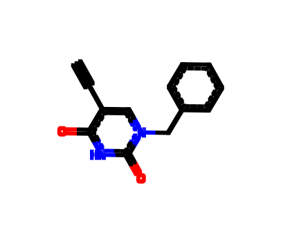 C#Cc1cn(Cc2ccccc2)c(=O)[nH]c1=O